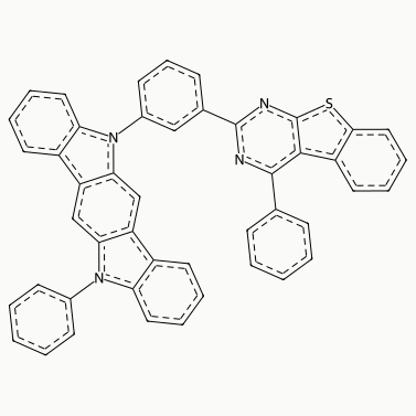 c1ccc(-c2nc(-c3cccc(-n4c5ccccc5c5cc6c(cc54)c4ccccc4n6-c4ccccc4)c3)nc3sc4ccccc4c23)cc1